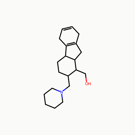 OCC1C(CN2CCCCC2)CCC2C3=C(CC=CC3)CC21